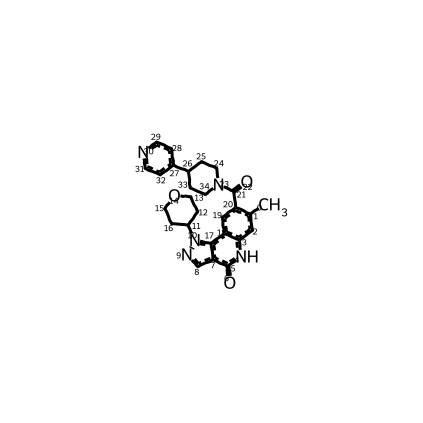 Cc1cc2[nH]c(=O)c3cnn(C4CCOCC4)c3c2cc1C(=O)N1CCC(c2ccncc2)CC1